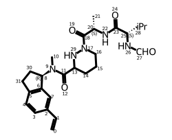 C=Cc1ccc2c(c1)[C@H](N(C)C(=O)C1CCCN(C(=O)[C@H](C)NC(=O)[C@@H](NC=O)C(C)C)N1)CC2